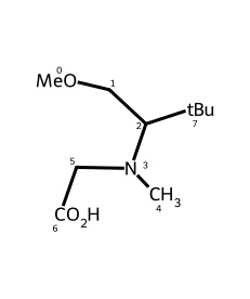 COCC(N(C)CC(=O)O)C(C)(C)C